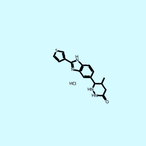 CC1CC(=O)NNC1c1ccc2[nH]c(-c3ccsc3)nc2c1.Cl